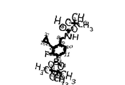 CC(C)(C)OC(=O)NCc1ccc(B2OC(C)(C)C(C)(C)O2)c(F)c1C1CC1